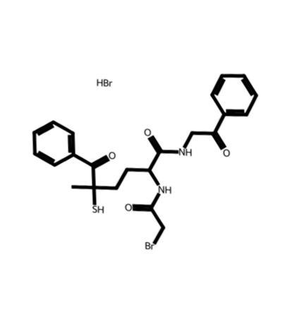 Br.CC(S)(CCC(NC(=O)CBr)C(=O)NCC(=O)c1ccccc1)C(=O)c1ccccc1